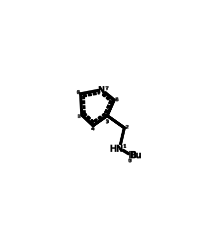 CCC(C)NCc1cccnc1